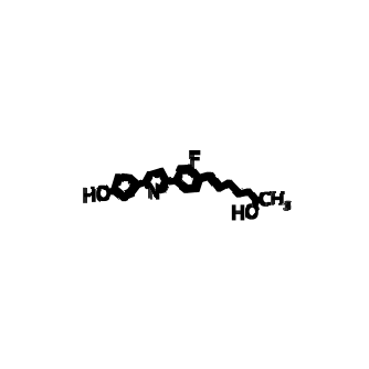 CC(O)CCCC=Cc1ccc(-c2ccc(-c3ccc(O)cc3)nc2)cc1F